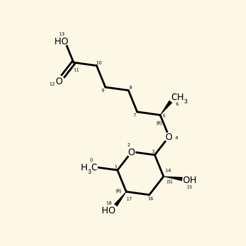 CC1OC(O[C@H](C)CCCCC(=O)O)[C@@H](O)C[C@H]1O